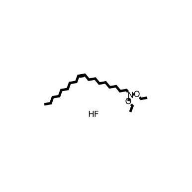 CCCCCCCC/C=C\CCCCCCCCN(OCC)OCC.F